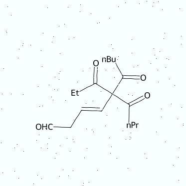 CCCCC(=O)C(C=CCC=O)(C(=O)CC)C(=O)CCC